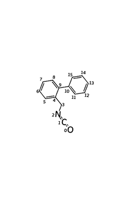 O=C=NCc1ccccc1-c1ccccc1